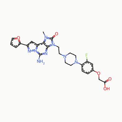 Cn1c(=O)n(CCN2CCN(c3ccc(OCC(=O)O)cc3F)CC2)c2nc(N)n3nc(-c4ccco4)cc3c21